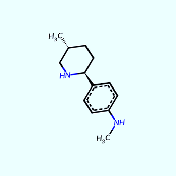 CNc1ccc([C@@H]2CC[C@@H](C)CN2)cc1